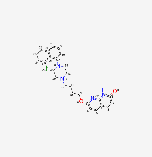 O=c1ccc2ccc(OCCCCN3CCN(c4cccc5cccc(F)c45)CC3)nc2[nH]1